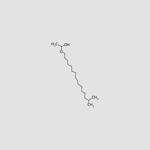 CC(C)CCCCCCCCCCCCCCOC(C)O